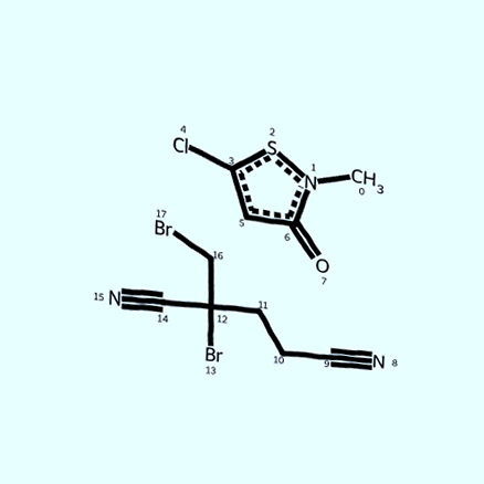 Cn1sc(Cl)cc1=O.N#CCCC(Br)(C#N)CBr